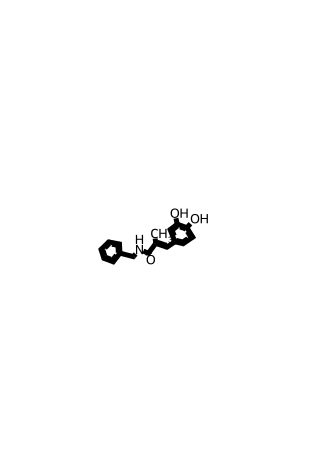 C/C(=C\c1ccc(O)c(O)c1)C(=O)NCc1ccccc1